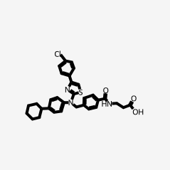 O=C(O)CCNC(=O)c1ccc(CN(c2ccc(C3CCCCC3)cc2)c2nc(-c3ccc(Cl)cc3)cs2)cc1